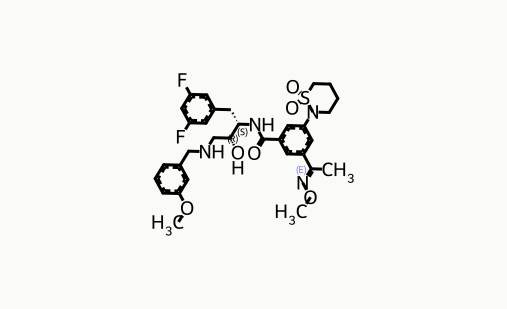 CO/N=C(\C)c1cc(C(=O)N[C@@H](Cc2cc(F)cc(F)c2)[C@H](O)CNCc2cccc(OC)c2)cc(N2CCCCS2(=O)=O)c1